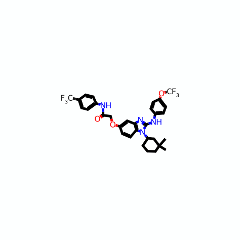 CC1(C)CCCC(n2c(Nc3ccc(OC(F)(F)F)cc3)nc3cc(OCC(=O)Nc4ccc(C(F)(F)F)cc4)ccc32)C1